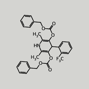 CC1=C(OC(=O)OCc2ccccc2)C(c2ccccc2C(F)(F)F)C(OC(=O)OCc2ccccc2)=C(C)N1